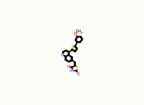 COc1cccc(-c2ccc(-c3ccnc4ccc(/C=C5/SC(=O)NC5=O)cc34)s2)c1